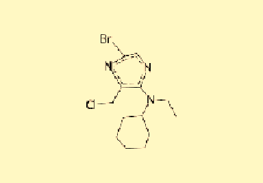 CCN(c1ncc(Br)nc1CCl)C1CCCCC1